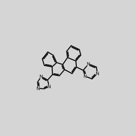 c1ccc2c(c1)c(-c1ncncn1)cc1cc(-c3ncncn3)c3ccccc3c12